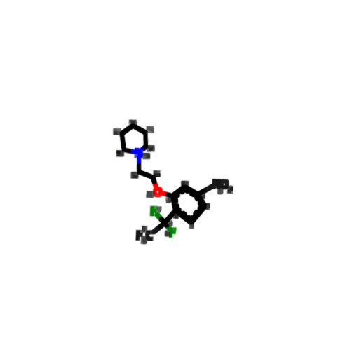 O=[N+]([O-])c1ccc(C(F)(F)C(F)(F)F)c(OCCN2CCCCC2)c1